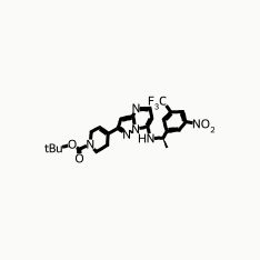 C[C@@H](Nc1ccnc2cc(C3=CCN(C(=O)OC(C)(C)C)CC3)nn12)c1cc([N+](=O)[O-])cc(C(F)(F)F)c1